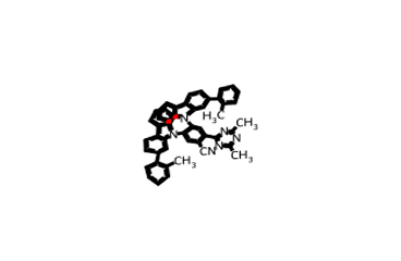 Cc1nc(C)nc(-c2cc(-n3c4ccccc4c4ccc(-c5ccccc5C)cc43)c(-n3c4ccccc4c4ccc(-c5ccccc5C)cc43)cc2C#N)n1